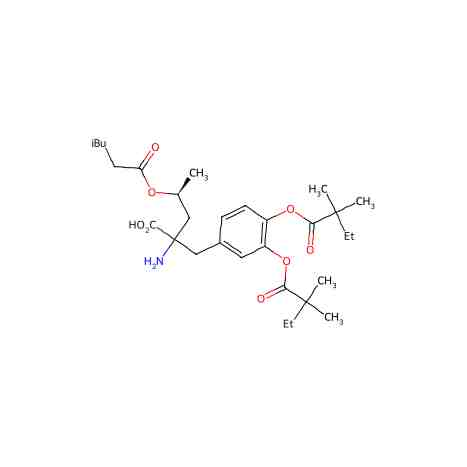 CCC(C)CC(=O)O[C@@H](C)CC(N)(Cc1ccc(OC(=O)C(C)(C)CC)c(OC(=O)C(C)(C)CC)c1)C(=O)O